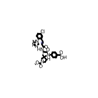 COC(=O)N1CCC(C)(C[C@H](NC(=O)/C=C/c2cc(Cl)ccc2-n2cnnn2)C(=O)Nc2ccc(C(=O)O)cc2)C1